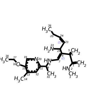 C=C(NC)C(=C)/C(=C/NC(C)c1cc(C)c(OCC)cn1)C(N)/C=C\CC